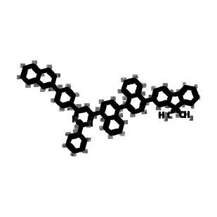 CC1(C)c2ccccc2-c2ccc(-c3ccc(-c4ccc(-c5cc(-c6ccc(-c7ccc8ccccc8c7)cc6)nc(-c6ccccc6)n5)c5ccccc45)c4ccccc34)cc21